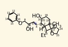 CCC1[C@H]2[C@H](/C=C/[C@H](O)COc3ccccc3)[C@@H](O)CC[C@@]2(C)C12OCCO2